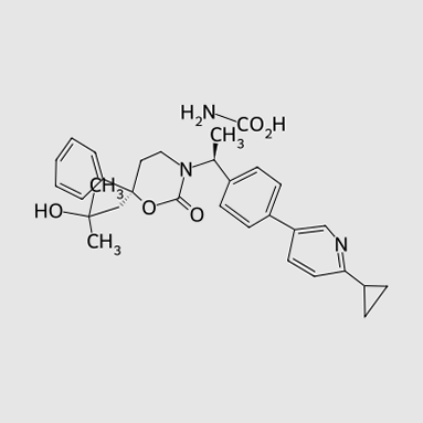 C[C@@H](c1ccc(-c2ccc(C3CC3)nc2)cc1)N1CC[C@](CC(C)(C)O)(c2ccccc2)OC1=O.NC(=O)O